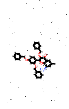 Cc1cc(N)c2oc(-c3ccc(OCc4ccccc4)cc3OCc3ccccc3)c(OCc3ccccc3)c(=O)c2c1